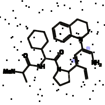 C=C/C(=C\C(=C/N)N1CCCc2ccccc21)C1CCCN1C(=O)C(NC(=O)C(C)NC)C1CCCCC1